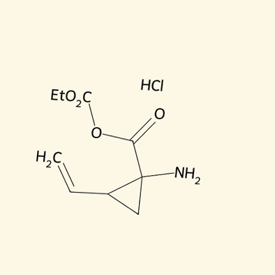 C=CC1CC1(N)C(=O)OC(=O)OCC.Cl